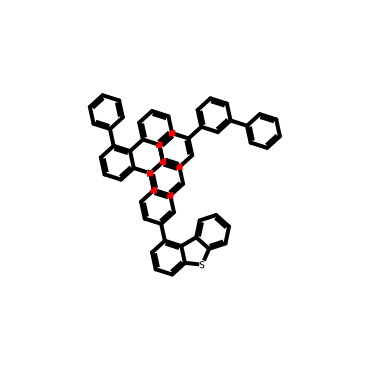 c1ccc(-c2cccc(-c3ccc(N(c4ccc(-c5cccc6sc7ccccc7c56)cc4)c4cccc(-c5ccccc5)c4-c4ccccc4-c4ccccc4)cc3)c2)cc1